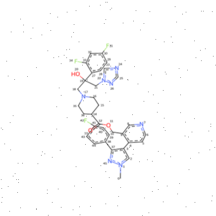 Cn1cc(-c2ccncc2COC(=O)C2CCN(CC(O)(Cn3cncn3)c3ccc(F)cc3F)CC2)c(-c2ccc(F)cc2)n1